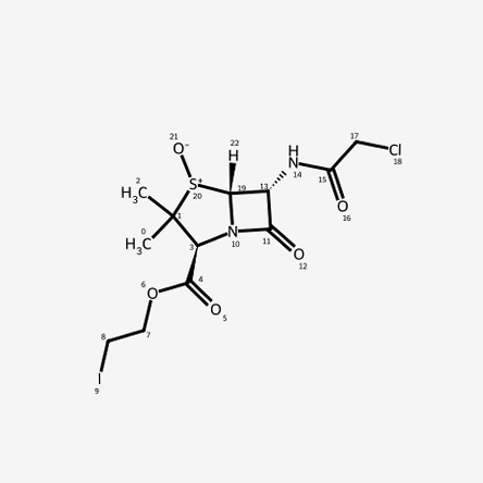 CC1(C)[C@H](C(=O)OCCI)N2C(=O)[C@@H](NC(=O)CCl)[C@H]2[S+]1[O-]